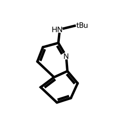 CC(C)(C)Nc1ccc2ccccc2n1